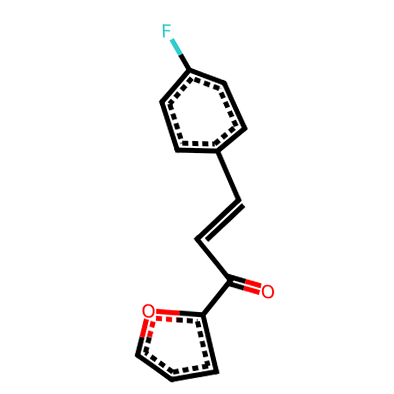 O=C(C=Cc1ccc(F)cc1)c1ccco1